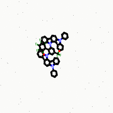 Fc1c(F)c(F)c(-c2c(-n3c4ccccc4c4ccc5c(c6ccccc6n5-c5ccccc5)c43)cc(C(F)(F)F)cc2-n2c3ccccc3c3ccc4c(c5ccccc5n4-c4ccccc4)c32)c(F)c1F